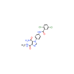 CNC(=O)c1ncn(-c2ccc(NC(=O)c3cc(Cl)ccc3Cl)cc2)c1C(N)=O